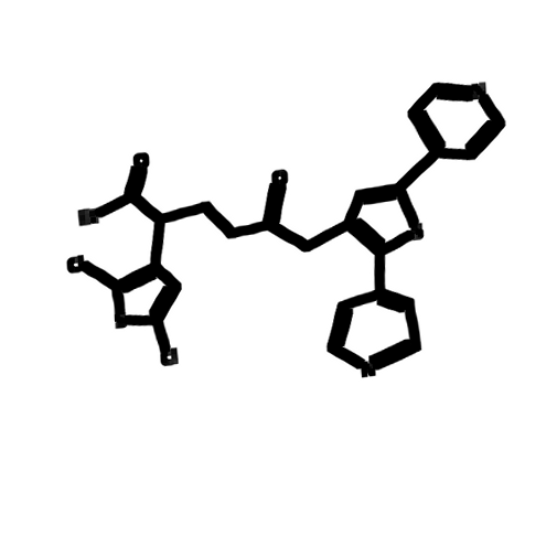 CCC(=O)C(CCC(=O)Cc1cc(-c2ccncc2)sc1-c1ccncc1)c1cc(Cl)sc1Cl